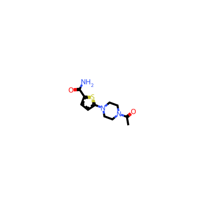 CC(=O)N1CCN(c2ccc(C(N)=O)s2)CC1